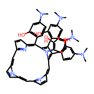 CN(C)c1ccc(-c2c(-c3ccc(N(C)C)cc3O)c3c(-c4ccc(N(C)C)cc4O)c4nc(cc5ccc(cc6nc(cc2n3-c2ccc(N(C)C)cc2O)C=C6)[nH]5)C=C4)c(O)c1